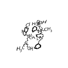 CCC(=O)N(c1ccccc1)C1CCN(CCc2ccccc2)CC1.CCN(CCO)CCCC(C)Nc1ccnc2cc(Cl)ccc12.O=S(=O)(O)O